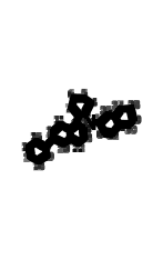 c1c(-n2c3ccccc3c3c4ccc(-c5ccccc5)cc4ccc32)cc2ccccc2c#1